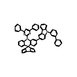 c1ccc(-c2cccc(-n3c4ccccc4c4cc(-c5ccc6c(c5)N(c5nc(-c7ccccc7)cc(-c7ccccc7)n5)c5ccccc5C65c6ccccc6-c6ccccc65)ccc43)c2)cc1